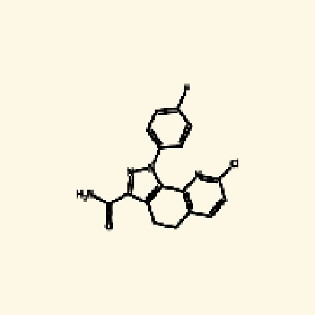 NC(=O)c1nn(-c2ccc(F)cc2)c2c1CCc1ccc(Cl)nc1-2